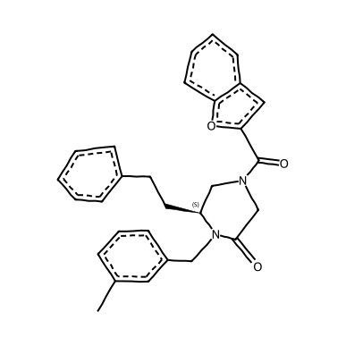 Cc1cccc(CN2C(=O)CN(C(=O)c3cc4ccccc4o3)C[C@@H]2CCc2ccccc2)c1